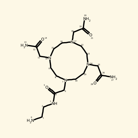 NCCNC(=O)CN1CCN(CC(N)=O)CCN(CC(N)=O)CCN(CC(N)=O)CC1